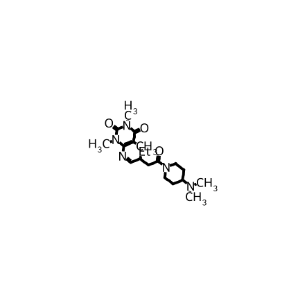 CCC(/C=N\c1c(C)c(=O)n(C)c(=O)n1C)CC(=O)N1CCC(N(C)C)CC1